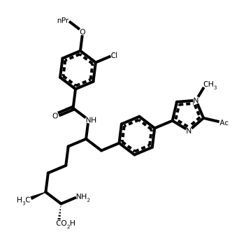 CCCOc1ccc(C(=O)NC(CCC[C@H](C)[C@H](N)C(=O)O)Cc2ccc(-c3cn(C)c(C(C)=O)n3)cc2)cc1Cl